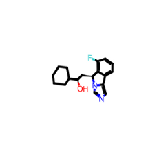 O[C@H](C[C@H]1c2c(F)cccc2-c2cncn21)C1CCCCC1